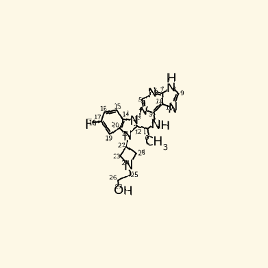 CC(Nc1ncnc2[nH]cnc12)c1nc2ccc(F)cc2n1C1CN(CCO)C1